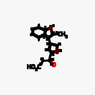 Cc1sc2ccccc2c1-c1csc(C(=O)CC(=O)O)c1